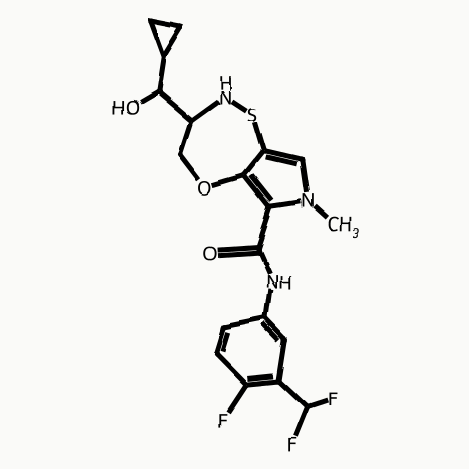 Cn1cc2c(c1C(=O)Nc1ccc(F)c(C(F)F)c1)OCC(C(O)C1CC1)NS2